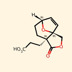 O=C(O)CC[C@]12CC[C@@H]3C=C[C@@]1(COC2=O)O3